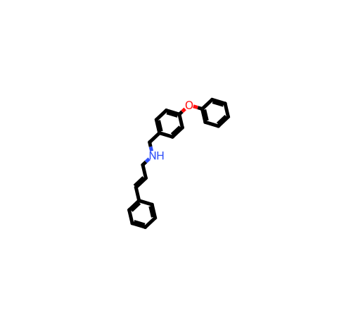 C(=Cc1ccccc1)CNCc1ccc(Oc2ccccc2)cc1